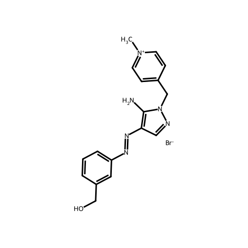 C[n+]1ccc(Cn2ncc(/N=N/c3cccc(CO)c3)c2N)cc1.[Br-]